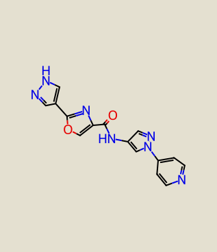 O=C(Nc1cnn(-c2ccncc2)c1)c1coc(-c2cn[nH]c2)n1